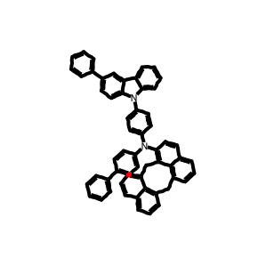 c1ccc(-c2ccc(N(c3ccc(-n4c5ccccc5c5cc(-c6ccccc6)ccc54)cc3)c3ccc4cccc5c4c3Cc3cccc4cccc(c34)C5)cc2)cc1